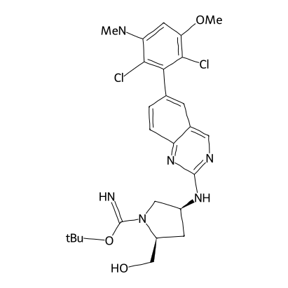 CNc1cc(OC)c(Cl)c(-c2ccc3nc(N[C@H]4C[C@@H](CO)N(C(=N)OC(C)(C)C)C4)ncc3c2)c1Cl